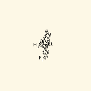 CCSc1nc(N2CCN(CC(F)(F)F)CC2)cc(C)c1C(=O)NCc1cccc(F)c1